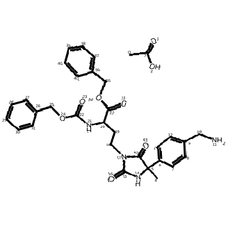 CC(=O)O.CC1(c2ccc(CN)cc2)NC(=O)N(CCC(NC(=O)OCc2ccccc2)C(=O)OCc2ccccc2)C1=O